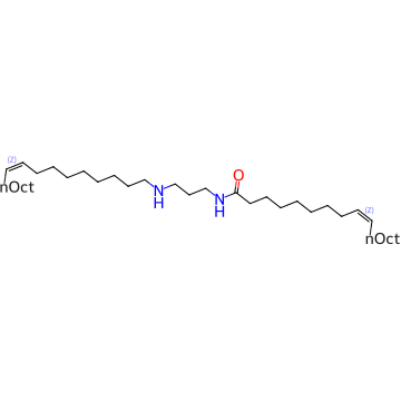 CCCCCCCC/C=C\CCCCCCCCNCCCNC(=O)CCCCCCC/C=C\CCCCCCCC